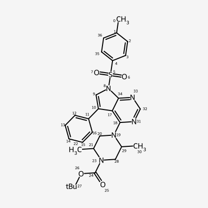 Cc1ccc(S(=O)(=O)n2cc(-c3ccccc3)c3c(N4CC(C)N(C(=O)OC(C)(C)C)CC4C)ncnc32)cc1